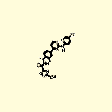 CCc1ccc(Nc2nccc(-c3ccc([C@@H](C)NC(=O)c4nc(C(C)(C)C)no4)c(C)c3)n2)nc1